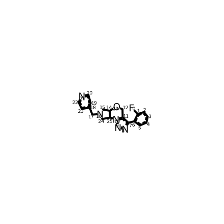 Fc1ccccc1-c1nnn2c1COC1CN(Cc3ccncc3)CC12